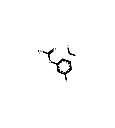 ClCCl.NC(=O)Oc1cccc(F)c1